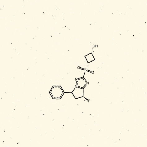 O=S(=O)(c1nc2n(n1)[C@H](c1ccccc1)C[C@@H]2F)[C@H]1C[C@@H](O)C1